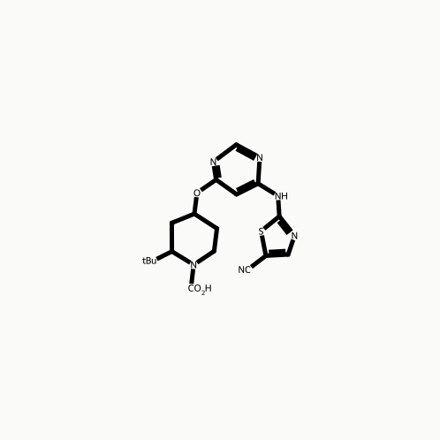 CC(C)(C)C1CC(Oc2cc(Nc3ncc(C#N)s3)ncn2)CCN1C(=O)O